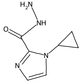 NNC(=O)c1nccn1C1CC1